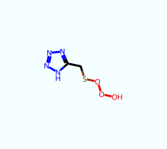 OOOSCc1nnn[nH]1